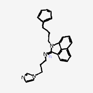 c1ccc(CCCN2/C(=N/CCCn3ccnc3)c3cccc4cccc2c34)cc1